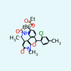 CCS(=O)(=O)Cc1ccc(C(=O)c2ccc(C)cc2Cl)c(-c2cn(C)c(=O)cc2[C@H](C)N[S@@+]([O-])C(C)(C)C)c1